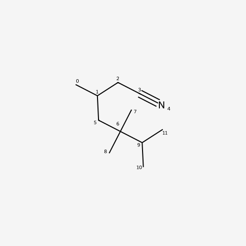 CC(CC#N)CC(C)(C)C(C)C